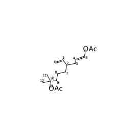 C=CC(C/C=C/OC(C)=O)CCCC(C)(C)OC(C)=O